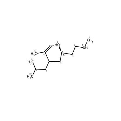 CNCC[C@H](O)CC(CC(C)C)C(C)=O